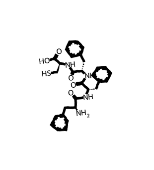 N[C@@H](Cc1ccccc1)C(=O)N[C@@H](Cc1ccccc1)C(=O)N[C@@H](Cc1ccccc1)C(=O)N[C@@H](CS)C(=O)O